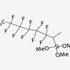 CO[Si](OC)(OC)C(C)C(F)(F)C(F)(F)C(F)(F)C(F)(F)C(F)(F)C(F)(F)F